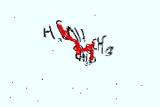 CCCCCCC(O)C/C=C\CCCCCCCC(=O)OC(C/C=C\CCCCCCCC(=O)OC(C/C=C\CCCCCCCC(C)=O)CCCCCC)CCCCCC